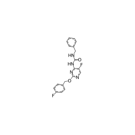 O=C(NCc1ccccc1)Nc1nc(OCc2ccc(F)cc2)ncc1F